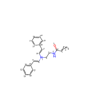 C=CC(=O)NCCN(C=Cc1ccccc1)C=Cc1ccccc1